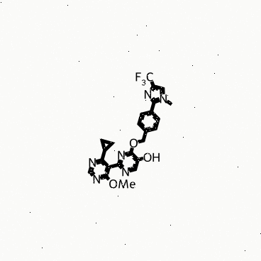 COc1ncnc(C2CC2)c1-c1ncc(O)c(OCc2ccc(-c3nc(C(F)(F)F)cn3C)cc2)n1